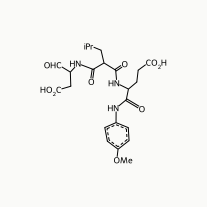 COc1ccc(NC(=O)C(CCC(=O)O)NC(=O)C(CC(C)C)C(=O)NC(C=O)CC(=O)O)cc1